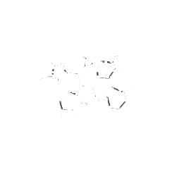 Cc1nnc([C@@H](C2CC2)N2C(=O)[C@H](CC(=O)O)O[C@@H](c3cccc(Cl)c3)[C@H]2c2ccc(Cl)cc2)o1